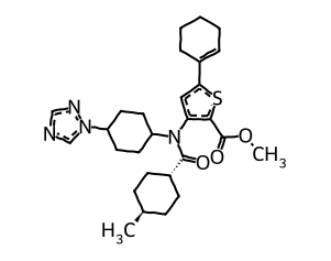 COC(=O)c1sc(C2=CCCCC2)cc1N(C(=O)[C@H]1CC[C@H](C)CC1)C1CCC(n2cncn2)CC1